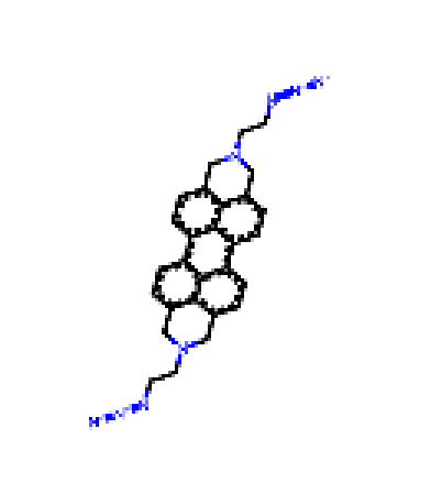 [N-]=[N+]=NCCN1Cc2ccc3c4ccc5c6c(ccc(c7ccc(c2c37)C1)c64)CN(CCN=[N+]=[N-])C5